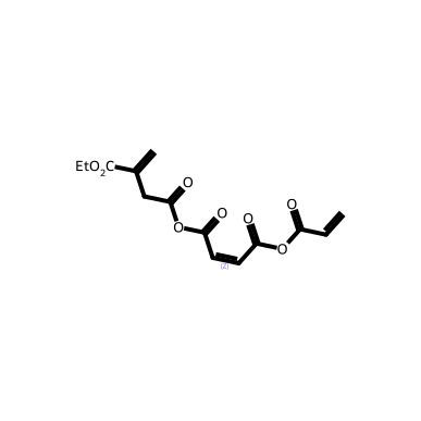 C=CC(=O)OC(=O)/C=C\C(=O)OC(=O)CC(=C)C(=O)OCC